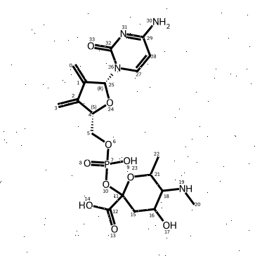 C=C1C(=C)[C@@H](COP(=O)(O)OC2(C(=O)O)CC(O)C(NC)C(C)O2)O[C@H]1n1ccc(N)nc1=O